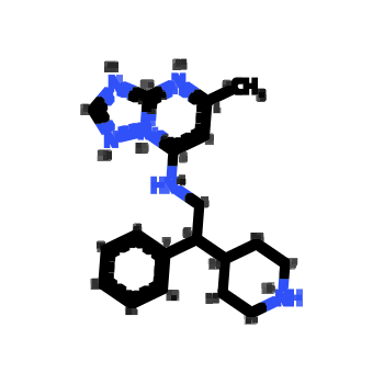 Cc1cc(NCC(c2ccccc2)C2CCNCC2)n2ncnc2n1